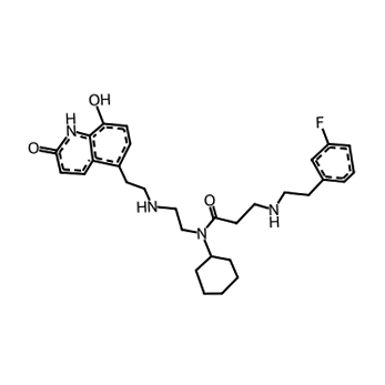 O=C(CCNCCc1cccc(F)c1)N(CCNCCc1ccc(O)c2[nH]c(=O)ccc12)C1CCCCC1